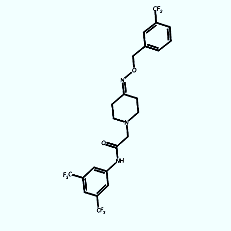 O=C(CN1CCC(=NOCc2cccc(C(F)(F)F)c2)CC1)Nc1cc(C(F)(F)F)cc(C(F)(F)F)c1